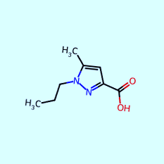 CCCn1nc(C(=O)O)cc1C